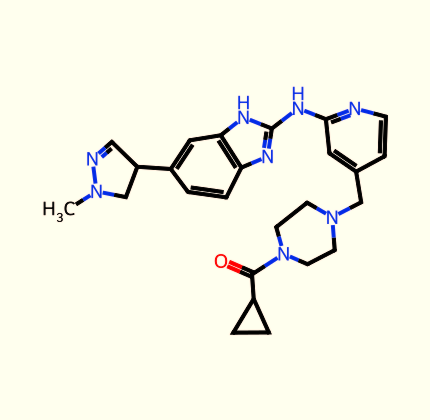 CN1CC(c2ccc3nc(Nc4cc(CN5CCN(C(=O)C6CC6)CC5)ccn4)[nH]c3c2)C=N1